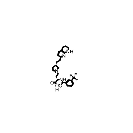 O=C(N[C@@H](CCN1CC[C@@H](CCc2ccc3c(n2)NCCC3)C1)C(=O)O)c1cccc(C(F)(F)F)c1